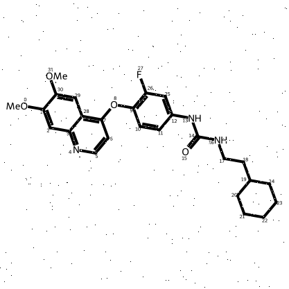 COc1cc2nccc(Oc3ccc(NC(=O)NCCC4CCCCC4)cc3F)c2cc1OC